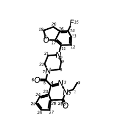 CCn1nc(C(=O)N2CCN(c3ccc(F)c4c3OCC4)CC2)c2ccccc2c1=O